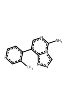 Cc1cnccc1-c1cnc(N)n2cnnc12